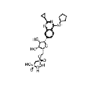 O=P(O)(O)CP(=O)(O)OC[C@H]1O[C@@H](c2ccc3c(NC4CCCC4)nc(C4CC4)nc3c2)[C@H](O)[C@@H]1O